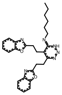 CCCCCCN=c1[nH]nnc(CCc2nc3ccccc3o2)c1CCc1nc2ccccc2o1